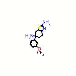 Nc1nc2c(s1)CC(N)(c1cccc(OC(F)(F)F)c1)CC2